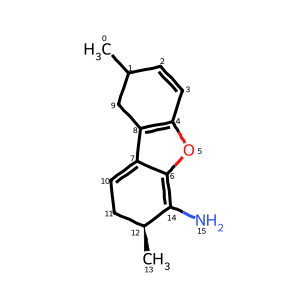 CC1C=Cc2oc3c(c2C1)=CC[C@H](C)C=3N